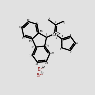 C[C](C)=[Zr+2]([C]1=CC=CC1)[CH]1c2ccccc2-c2ccccc21.[Br-].[Br-]